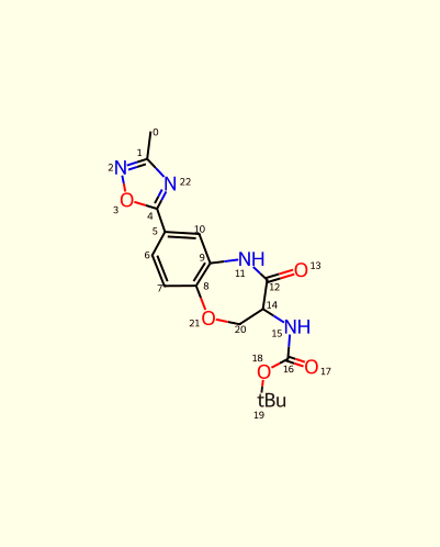 Cc1noc(-c2ccc3c(c2)NC(=O)C(NC(=O)OC(C)(C)C)CO3)n1